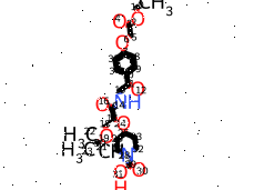 CCOC(=O)COc1ccc(C(=O)CNC(=O)[C@H](COC(C)(C)C)OC2CCN(C(=O)O)CC2)cc1